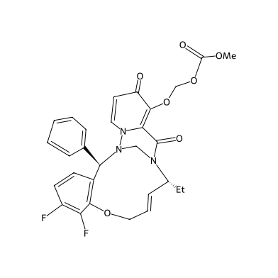 CC[C@@H]1/C=C/COc2c(ccc(F)c2F)[C@@H](c2ccccc2)N2CN1C(=O)c1c(OCOC(=O)OC)c(=O)ccn12